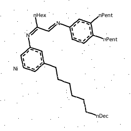 CCCCCCCCCCCCCCCCc1cccc(N=C(C=Nc2ccc(CCCCC)c(CCCCC)c2)CCCCCC)c1.[Ni]